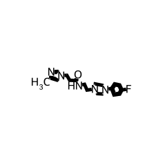 Cc1cn(CCC(=O)NCCN2CCN(c3ccc(F)cc3)CC2)cn1